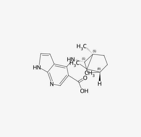 CC1(C)[C@@H]2CC[C@]1(C)[C@@H](Nc1c(C(=O)O)cnc3[nH]ccc13)C2